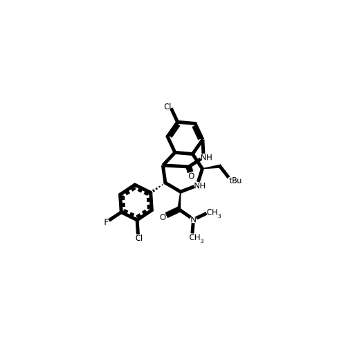 CN(C)C(=O)[C@@H]1N[C@H](CC(C)(C)C)C2C3=CC(Cl)=CC2C(C(=O)N3)[C@H]1c1ccc(F)c(Cl)c1